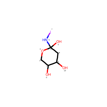 OC1COC(O)(NI)CC1O